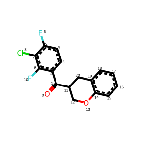 O=C(c1ccc(F)c(Cl)c1F)C1COc2ccccc2C1